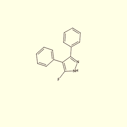 Fc1[nH]nc(-c2ccccc2)c1-c1ccccc1